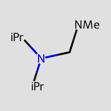 CNCN(C(C)C)C(C)C